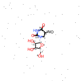 O=Nc1cn([C@@H]2O[C@H](CO)[C@@H](O)[C@H]2O)c(=O)[nH]c1=O